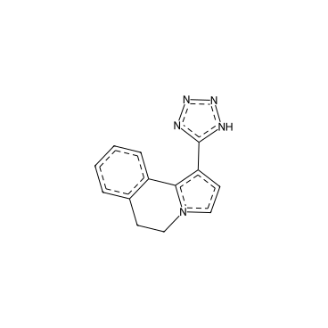 c1ccc2c(c1)CCn1ccc(-c3nnn[nH]3)c1-2